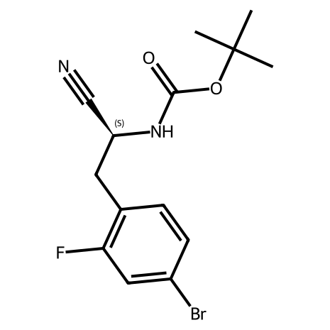 CC(C)(C)OC(=O)N[C@H](C#N)Cc1ccc(Br)cc1F